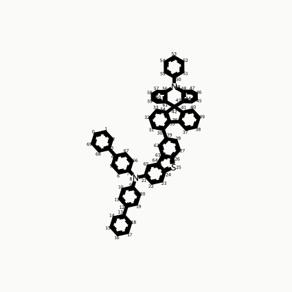 c1ccc(-c2ccc(N(c3ccc(-c4ccccc4)cc3)c3ccc4sc5ccc(-c6cccc7c6-c6ccccc6C76c7ccccc7N(c7ccccc7)c7ccccc76)cc5c4c3)cc2)cc1